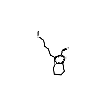 COCCCCc1c(C=O)nc2n1CCCC2